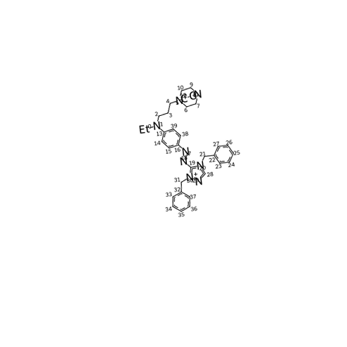 CCN(CCC[N+]12CCN(CC1)CC2)c1ccc(N=Nc2n(Cc3ccccc3)cn[n+]2Cc2ccccc2)cc1